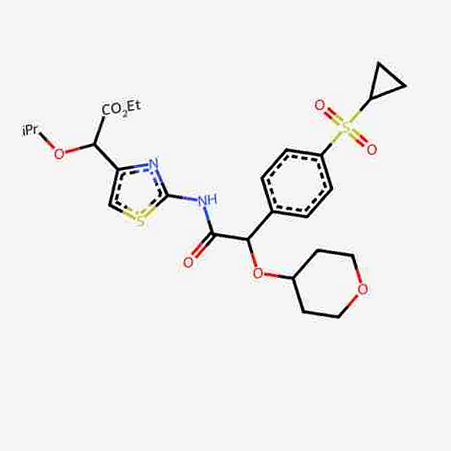 CCOC(=O)C(OC(C)C)c1csc(NC(=O)C(OC2CCOCC2)c2ccc(S(=O)(=O)C3CC3)cc2)n1